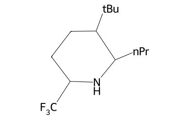 CCCC1NC(C(F)(F)F)CCC1C(C)(C)C